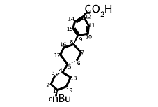 CCCC[C@H]1CC[C@H]([C@H]2CC[C@H](c3ccc(C(=O)O)cc3)CC2)CC1